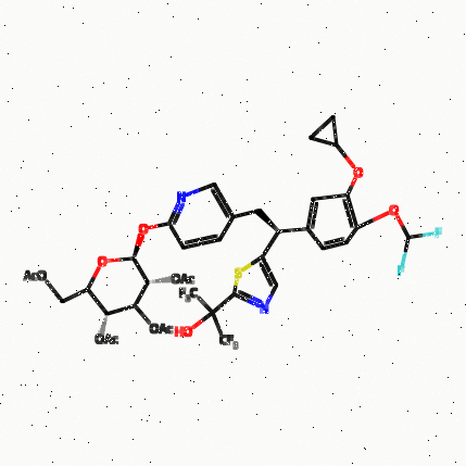 CC(=O)OCC1O[C@@H](Oc2ccc(C[C@@H](c3ccc(OC(F)F)c(OC4CC4)c3)c3cnc(C(O)(C(F)(F)F)C(F)(F)F)s3)cn2)[C@H](OC(C)=O)C(OC(C)=O)[C@@H]1OC(C)=O